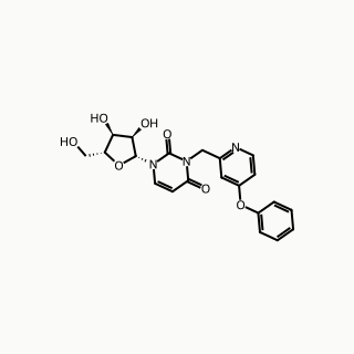 O=c1ccn([C@@H]2O[C@H](CO)[C@@H](O)[C@H]2O)c(=O)n1Cc1cc(Oc2ccccc2)ccn1